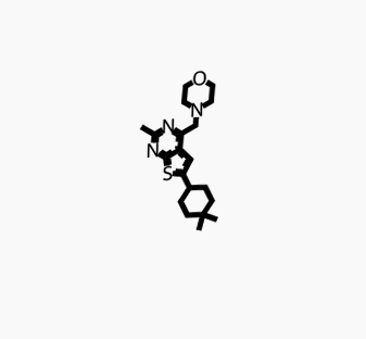 Cc1nc(CN2CCOCC2)c2cc(C3CCC(C)(C)CC3)sc2n1